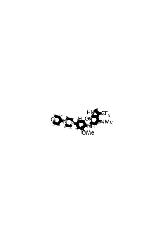 CNC1=CC(Nc2ccc(P3CCN(C4CCOCC4)CC3)cc2OC)N(C)c2[nH]cc(C(F)(F)F)c21